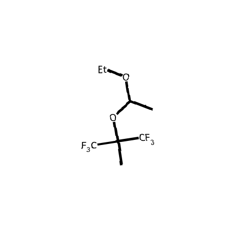 CCOC(C)OC(C)(C(F)(F)F)C(F)(F)F